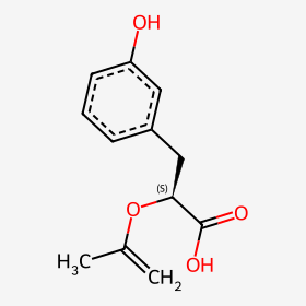 C=C(C)O[C@@H](Cc1cccc(O)c1)C(=O)O